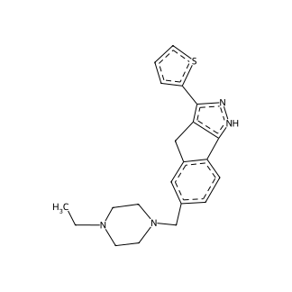 CCN1CCN(Cc2ccc3c(c2)Cc2c(-c4cccs4)n[nH]c2-3)CC1